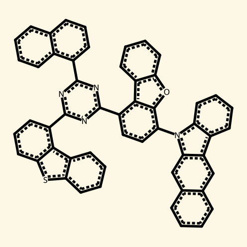 c1ccc2cc3c(cc2c1)c1ccccc1n3-c1ccc(-c2nc(-c3cccc4ccccc34)nc(-c3cccc4sc5ccccc5c34)n2)c2c1oc1ccccc12